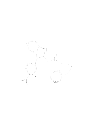 CN(C)c1ccc(-c2c(CN(C)[C@H]3CCCc4cccnc43)nc3ccccn23)cn1